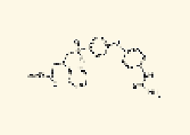 COC(=O)CC(CS(=O)(=O)c1ccc(Oc2ccc(NC(N)=S)cc2)cc1)c1ccccc1